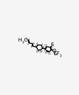 CC=CC=CC1CCC(c2ccc(OC(F)(F)F)c(F)c2)CC1